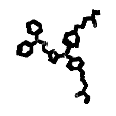 C=CC(=O)CCCc1ccc(N(c2ccc(CCCC(=O)C=C)cc2)c2ccc(CNN(c3ccccc3)c3ccccc3)s2)cc1